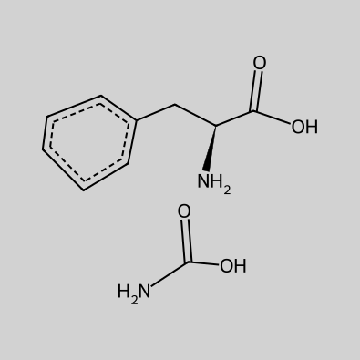 NC(=O)O.N[C@@H](Cc1ccccc1)C(=O)O